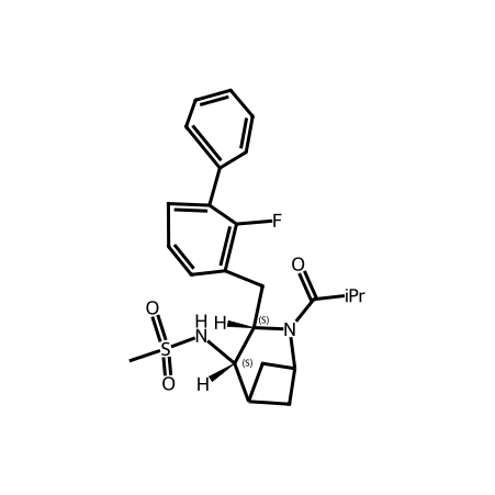 CC(C)C(=O)N1C2CC(C2)[C@H](NS(C)(=O)=O)[C@@H]1Cc1cccc(-c2ccccc2)c1F